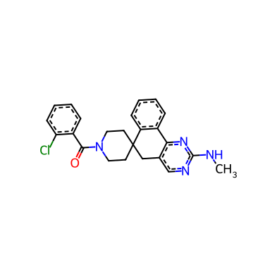 CNc1ncc2c(n1)-c1ccccc1C1(CCN(C(=O)c3ccccc3Cl)CC1)C2